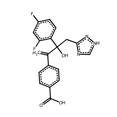 C=C(c1ccc(C(=O)O)cc1)C(O)(Cc1nc[nH]n1)c1ccc(F)cc1F